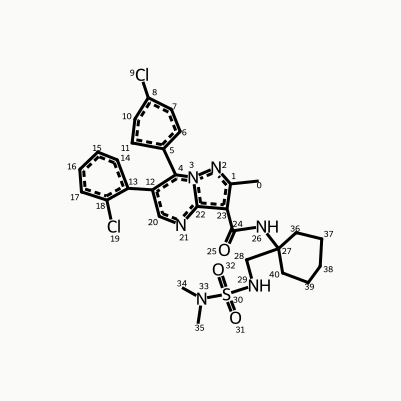 Cc1nn2c(-c3ccc(Cl)cc3)c(-c3ccccc3Cl)cnc2c1C(=O)NC1(CNS(=O)(=O)N(C)C)CCCCC1